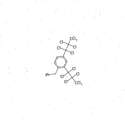 [CH2]C(C)Cc1ccc(C(Cl)(Cl)C(Cl)(Cl)C(Cl)(Cl)Cl)cc1C(Cl)(Cl)C(Cl)(Cl)C(Cl)(Cl)Cl